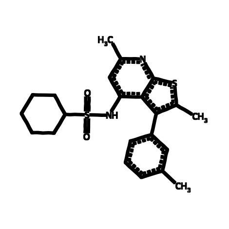 Cc1cccc(-c2c(C)sc3nc(C)cc(NS(=O)(=O)C4CCCCC4)c23)c1